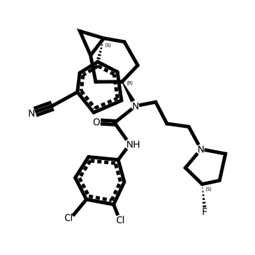 N#Cc1cccc([C@]23CC[C@@H](N(CCCN4CC[C@H](F)C4)C(=O)Nc4ccc(Cl)c(Cl)c4)CC2C3)c1